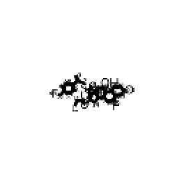 C=C(CSC(=O)[C@@]1(OC(=O)CC)[C@H](C)CC2C3C[C@H](F)C4=CC(=O)C=C[C@]4(C)[C@@]3(F)[C@@H](O)C[C@@]21C)c1ccc(CF)cc1